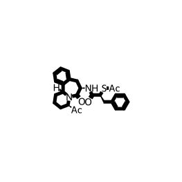 CC(=O)S[C@@H](Cc1ccccc1)C(=O)N[C@H]1Cc2ccccc2[C@H]2CCC[C@@H](C(C)=O)N2C1=O